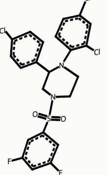 O=S(=O)(c1cc(F)cc(F)c1)N1CCN(c2ccc(Cl)cc2Cl)C(c2ccc(Cl)cc2)C1